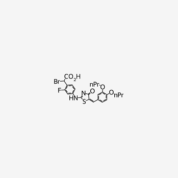 CCCOc1ccc(C=C2SC(Nc3ccc(C(Br)C(=O)O)c(F)c3)=NC2=O)cc1OCCC